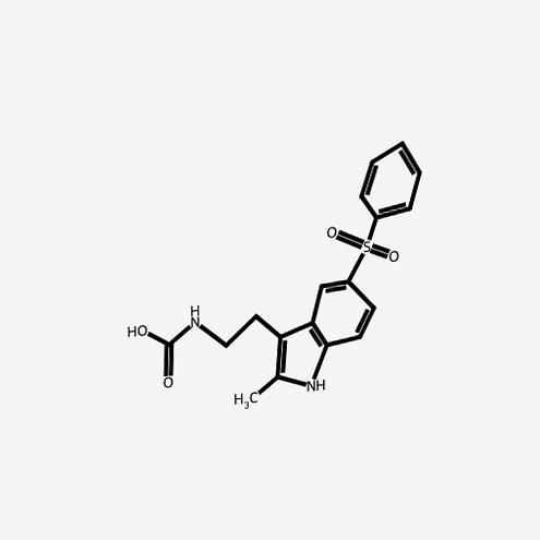 Cc1[nH]c2ccc(S(=O)(=O)c3ccccc3)cc2c1CCNC(=O)O